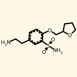 NCCc1ccc(OCC2CCCO2)c(S(N)(=O)=O)c1